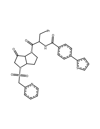 CC(C)CC(NC(=O)c1ccc(-c2cccs2)cc1)C(=O)N1CCC2C1C(=O)CN2S(=O)(=O)Cc1ccccn1